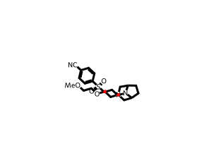 COCCOCCN1CC2CCC(C1)N2CCCS(=O)(=O)c1ccc(C#N)cc1